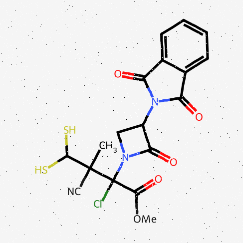 COC(=O)C(Cl)(N1CC(N2C(=O)c3ccccc3C2=O)C1=O)C(C)(C#N)C(S)S